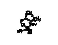 CCCS(=O)(=O)NC(C)[C@H](C)F